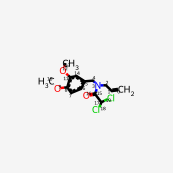 C=CCN(Cc1ccc(OC)c(OC)c1)C(=O)C(Cl)Cl